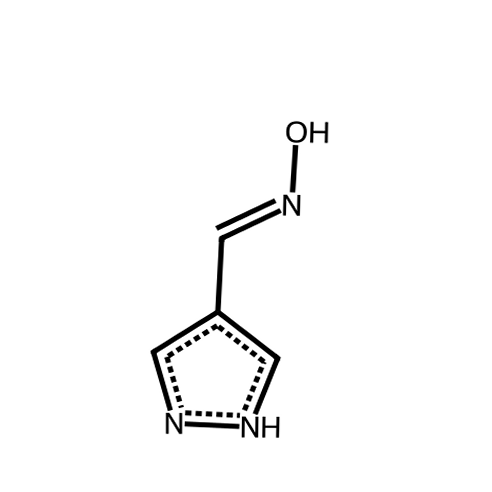 ON=Cc1cn[nH]c1